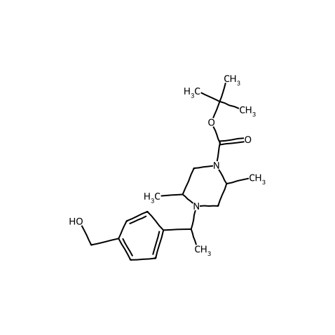 CC1CN(C(C)c2ccc(CO)cc2)C(C)CN1C(=O)OC(C)(C)C